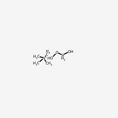 C[N+](C)(C)C.OO[SiH2]O